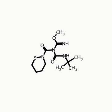 COC(=N)N(C(=O)NC(C)(C)C)C(=O)N1CCCCS1